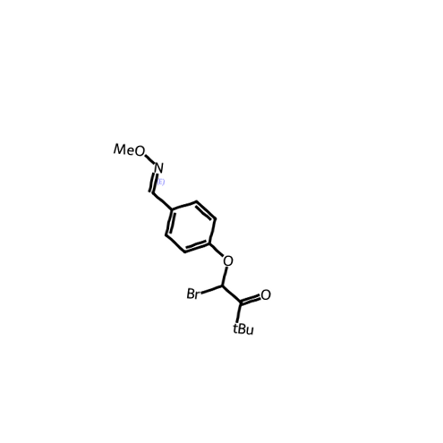 CO/N=C/c1ccc(OC(Br)C(=O)C(C)(C)C)cc1